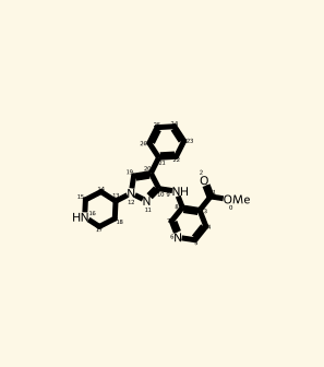 COC(=O)c1ccncc1Nc1nn(C2CCNCC2)cc1-c1ccccc1